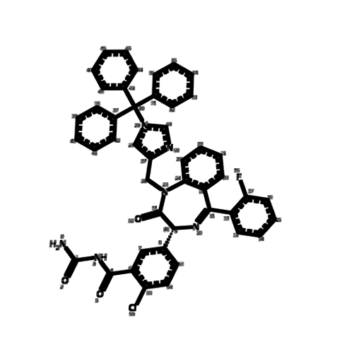 NC(=O)NC(=O)c1cc([C@H]2N=C(c3ccccc3F)c3ccccc3N(Cc3cn(C(c4ccccc4)(c4ccccc4)c4ccccc4)cn3)C2=O)ccc1Cl